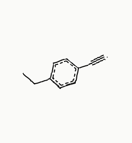 [C]#Cc1ccc(CC)cc1